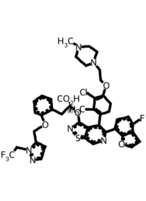 CC1=C(c2c(-c3ccc(F)c4ccoc34)ncc3snc(O[C@H](Cc4ccccc4OCc4ccnn4CC(F)(F)F)C(=O)O)c23)CCC(OCCN2CCN(C)CC2)=C1Cl